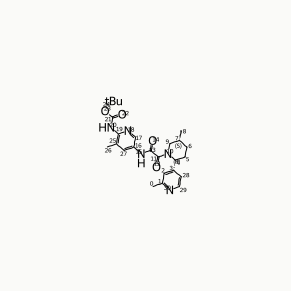 Cc1cc([C@H]2CC[C@H](C)CN2C(=O)C(=O)Nc2cnc(NC(=O)OC(C)(C)C)c(C)c2)ccn1